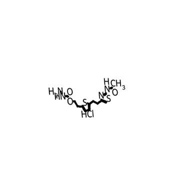 CC(=O)Nc1nc(CCc2ccc(CCOC(=O)NN)s2)cs1.Cl